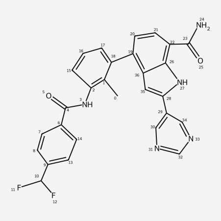 Cc1c(NC(=O)c2ccc(C(F)F)cc2)cccc1-c1ccc(C(N)=O)c2[nH]c(-c3cncnc3)cc12